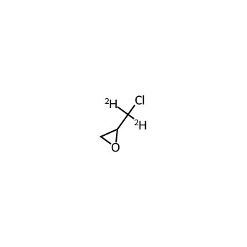 [2H]C([2H])(Cl)C1CO1